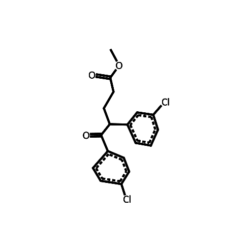 COC(=O)CCC(C(=O)c1ccc(Cl)cc1)c1cccc(Cl)c1